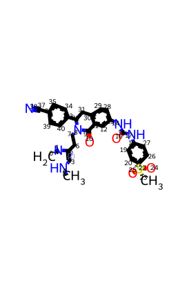 C=N/C(=C\NC)CCN1C(=O)c2cc(NC(=O)Nc3ccc(S(C)(=O)=O)cc3)ccc2CC1c1ccc(C#N)cc1